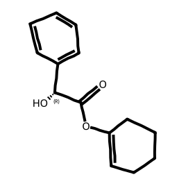 O=C(OC1=CCCCC1)[C@H](O)c1ccccc1